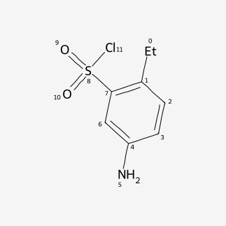 CCc1ccc(N)cc1S(=O)(=O)Cl